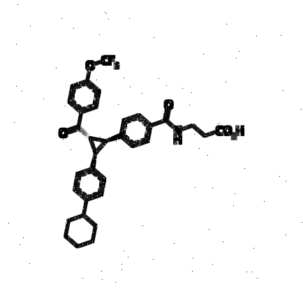 O=C(O)CCNC(=O)c1ccc([C@@H]2[C@@H](C(=O)c3ccc(OC(F)(F)F)cc3)[C@@H]2c2ccc(C3CCCCC3)cc2)cc1